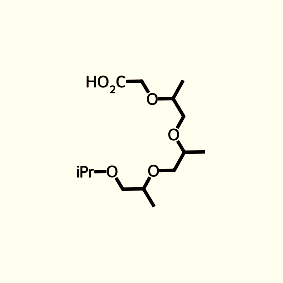 CC(C)OCC(C)OCC(C)OCC(C)OCC(=O)O